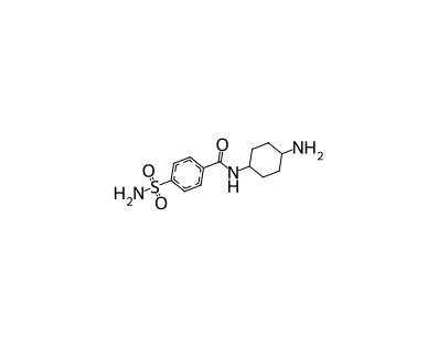 NC1CCC(NC(=O)c2ccc(S(N)(=O)=O)cc2)CC1